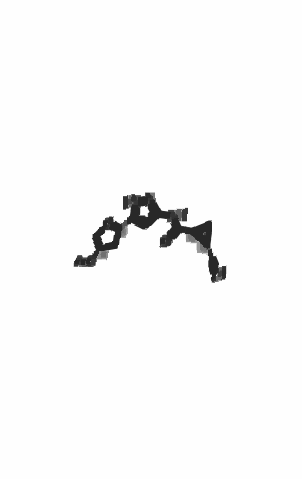 C#C[C@H]1C[C@@H]1C(=O)Nc1cc([C@@H]2C[C@H](OC(C)=O)CO2)[nH]n1